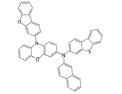 c1ccc2c(c1)Oc1cc(N(c3ccc4ccccc4c3)c3ccc4c(c3)sc3ccccc34)ccc1N2c1ccc2c(c1)oc1ccccc12